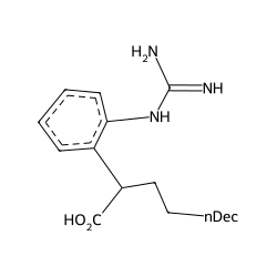 CCCCCCCCCCCCC(C(=O)O)c1ccccc1NC(=N)N